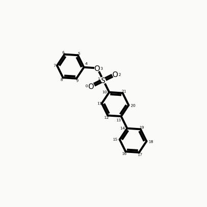 O=S(=O)(Oc1ccccc1)c1ccc(-c2ccccc2)cc1